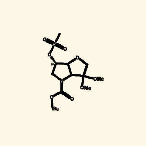 COC1(OC)COC2C1N(C(=O)OC(C)(C)C)C[C@H]2OS(C)(=O)=O